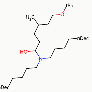 CCCCCCCCCCCCCCN(CCCCCCCCCCCCCC)C(O)CCC(C)CCOC(C)(C)C